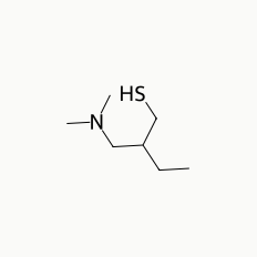 CCC(CS)CN(C)C